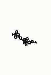 O=c1ccn(COCCCS(=O)(=O)NC2(c3cccc(OCC4CC4)c3)CCCC2)c(=O)[nH]1